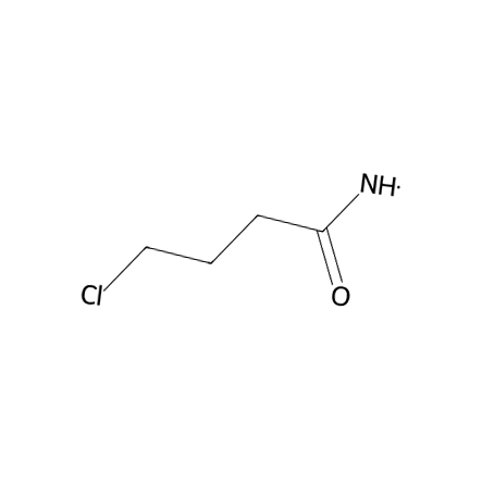 [NH]C(=O)CCCCl